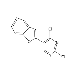 Clc1ncc(-c2cc3ccccc3o2)c(Cl)n1